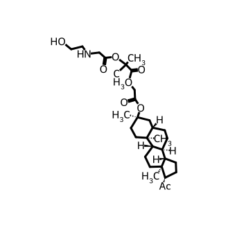 CC(=O)[C@H]1CC[C@H]2[C@@H]3CC[C@H]4C[C@](C)(OC(=O)COC(=O)C(C)(C)OC(=O)CNCCO)CC[C@]4(C)[C@H]3CC[C@]12C